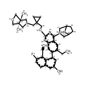 C#Cc1c(F)ccc2cc(O)cc(-c3cc4nc(OCC5(CN6C[C@@]7(C)COC[C@]7(C)C6)CC5)nc(N5CC6CCC(C5)N6)c4cc3CC)c12